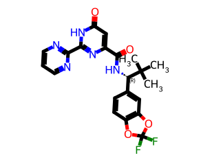 CC(C)(C)[C@@H](NC(=O)c1cc(=O)[nH]c(-c2ncccn2)n1)c1ccc2c(c1)OC(F)(F)O2